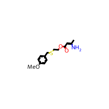 COc1ccc(CSCCOC(=O)/C=C(/C)N)cc1